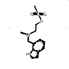 CN(CCOS(C)(=O)=O)Cc1cccc2cc[nH]c12